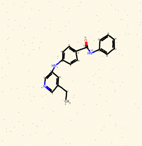 CCc1cncc(Nc2ccc(C(=O)Nc3ccccc3)cc2)c1